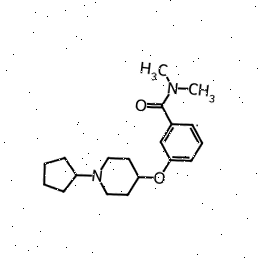 CN(C)C(=O)c1[c]ccc(OC2CCN(C3CCCC3)CC2)c1